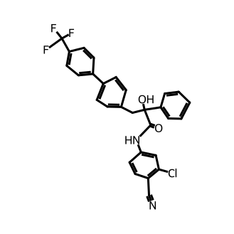 N#Cc1ccc(NC(=O)C(O)(Cc2ccc(-c3ccc(C(F)(F)F)cc3)cc2)c2ccccc2)cc1Cl